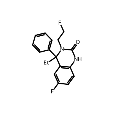 CCC1(c2ccccc2)c2cc(F)ccc2NC(=O)N1CCF